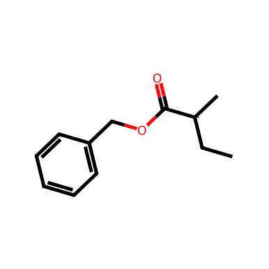 CC[C](C)C(=O)OCc1ccccc1